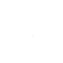 CC1(C)c2ccccc2N(C2CCCCCCCCC2)c2ccccc21